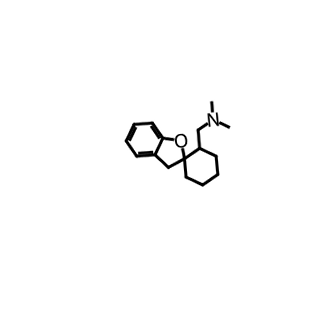 CN(C)CC1CCCCC12Cc1ccccc1O2